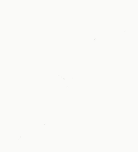 CCCCC[C@H]1CC[C@H](C2CCC3(CC2)CC2(CCC([C@H]4CC[C@H](CCCCC)CC4)CC2)C3=O)CC1